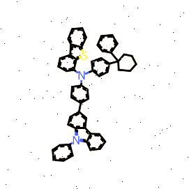 c1ccc(-n2c3ccccc3c3cc(-c4ccc(N(c5ccc(C6(c7ccccc7)CCCCC6)cc5)c5cccc6c5sc5ccccc56)cc4)ccc32)cc1